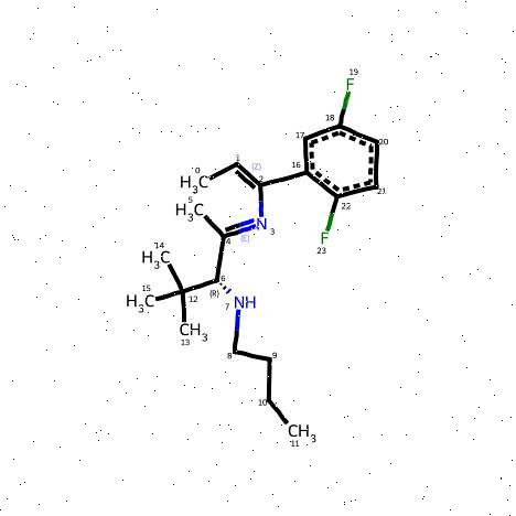 C/C=C(\N=C(/C)[C@H](NCCCC)C(C)(C)C)c1cc(F)ccc1F